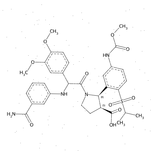 COC(=O)Nc1ccc(S(=O)(=O)C(C)C)c([C@H]2[C@@H](C(=O)O)CCN2C(=O)C(Nc2cccc(C(N)=O)c2)c2ccc(OC)c(OC)c2)c1